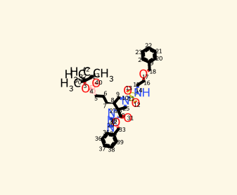 CC1(C)OB(CCC[C@H]2CN(S(=O)(=O)NCCOCc3ccccc3)C[C@@]2(N=[N+]=[N-])C(=O)OCc2ccccc2)OC1(C)C